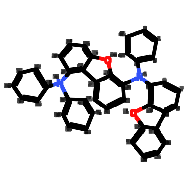 c1ccc(N(c2cccc3c2oc2ccccc23)c2cccc3c2oc2cccc(N(c4ccccc4)c4ccccc4)c23)cc1